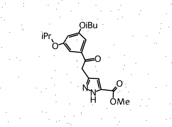 COC(=O)c1cc(CC(=O)c2cc(OCC(C)C)cc(OC(C)C)c2)n[nH]1